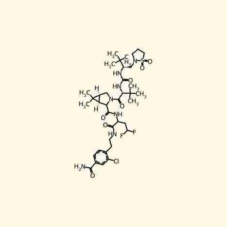 CC(C)(C)[C@H](NC(=O)N[C@H](CN1CCCS1(=O)=O)C(C)(C)C)C(=O)N1C[C@H]2[C@@H](C1C(=O)NC(CC(F)F)C(=O)NCCc1ccc(C(N)=O)cc1Cl)C2(C)C